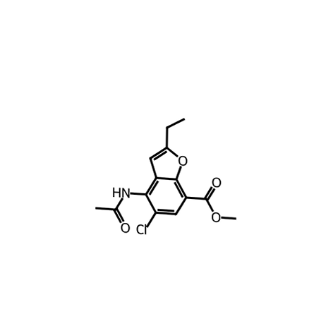 CCc1cc2c(NC(C)=O)c(Cl)cc(C(=O)OC)c2o1